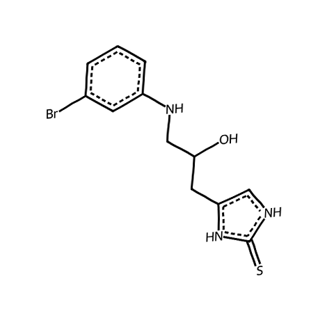 OC(CNc1cccc(Br)c1)Cc1c[nH]c(=S)[nH]1